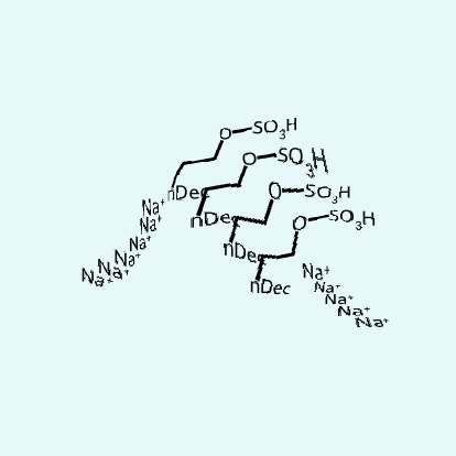 CCCCCCCCCCCCOS(=O)(=O)O.CCCCCCCCCCCCOS(=O)(=O)O.CCCCCCCCCCCCOS(=O)(=O)O.CCCCCCCCCCCCOS(=O)(=O)O.[Na+].[Na+].[Na+].[Na+].[Na+].[Na+].[Na+].[Na+].[Na+].[Na+].[Na+]